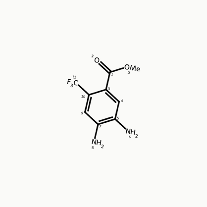 COC(=O)c1cc(N)c(N)cc1C(F)(F)F